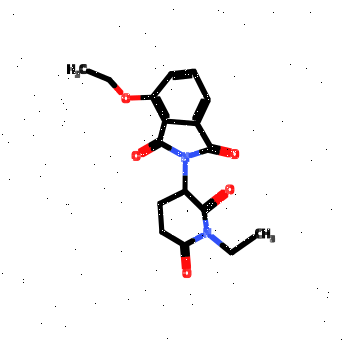 CCOc1cccc2c1C(=O)N(C1CCC(=O)N(CC)C1=O)C2=O